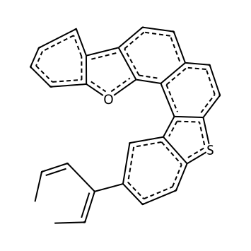 C/C=C\C(=C/C)c1ccc2sc3ccc4ccc5c6ccccc6oc5c4c3c2c1